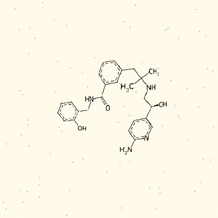 CC(C)(Cc1cccc(C(=O)NCc2ccccc2O)c1)NC[C@@H](O)c1ccc(N)nc1